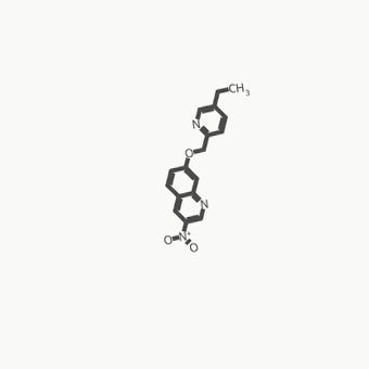 CCc1ccc(COc2ccc3cc([N+](=O)[O-])cnc3c2)nc1